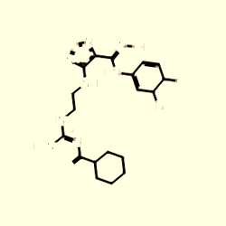 N/C(=N\C(=O)C1CCCCC1)NCCNc1nonc1/C(=N/O)NC1=CC(Br)C(F)C=C1